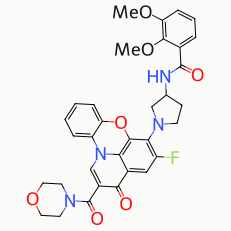 COc1cccc(C(=O)NC2CCN(c3c(F)cc4c(=O)c(C(=O)N5CCOCC5)cn5c4c3Oc3ccccc3-5)C2)c1OC